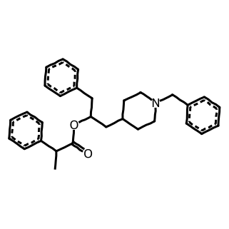 CC(C(=O)OC(Cc1ccccc1)CC1CCN(Cc2ccccc2)CC1)c1ccccc1